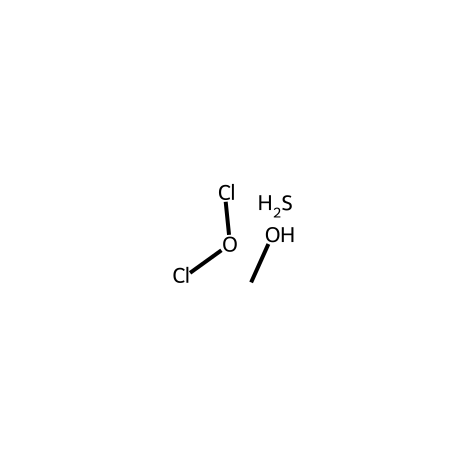 CO.ClOCl.S